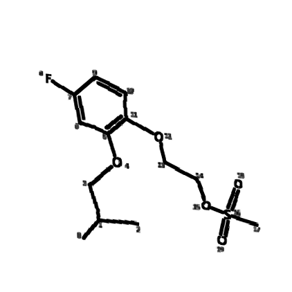 CC(C)COc1cc(F)ccc1OCCOS(C)(=O)=O